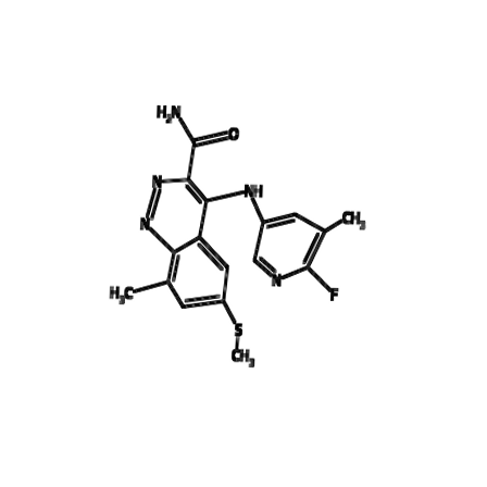 CSc1cc(C)c2nnc(C(N)=O)c(Nc3cnc(F)c(C)c3)c2c1